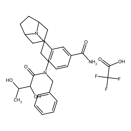 CC(O)C(O)C(=O)N(CCCN1C2CCC1CC(c1cccc(C(N)=O)c1)C2)Cc1ccccc1.O=C(O)C(F)(F)F